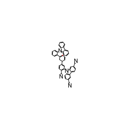 N#Cc1ccc2c(c1)c1ccc(C#N)cc1n2-c1cc(C2C=CC=C(c3ccccc3-n3c4ccccc4c4ccccc43)C2)ccc1C#N